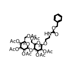 CC(=O)OC[C@H]1O[C@@H](O[C@H]2[C@H](OC(C)=O)[C@@H](OC(C)=O)[C@H](OCCNC(=O)OCc3ccccc3)O[C@@H]2COC(C)=O)[C@H](OC(C)=O)[C@@H](OC(C)=O)[C@H]1OC(C)=O